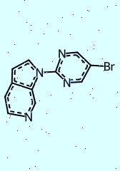 Brc1cnc(-n2ccc3ccncc32)nc1